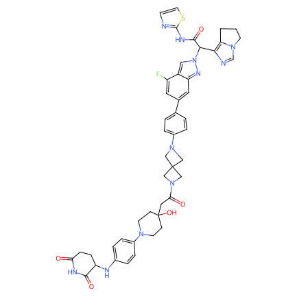 O=C1CCC(Nc2ccc(N3CCC(O)(CC(=O)N4CC5(C4)CN(c4ccc(-c6cc(F)c7cn(C(C(=O)Nc8nccs8)c8ncn9c8CCC9)nc7c6)cc4)C5)CC3)cc2)C(=O)N1